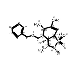 CC(=O)OC1=C[C@@H]2[C@H]([C@@H](COCc3ccccc3)[C@H]1C)[C@@H](C)N(C(C)=O)S2(=O)=O